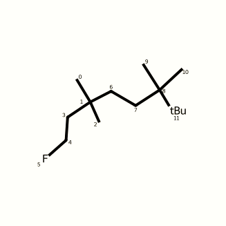 CC(C)(CCF)CCC(C)(C)C(C)(C)C